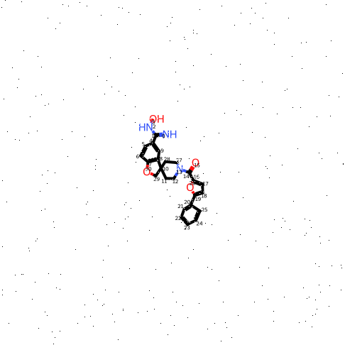 N=C(NO)c1ccc2c(c1)C1(CCN(C(=O)c3ccc(-c4ccccc4)o3)CC1)CO2